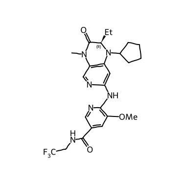 CC[C@@H]1C(=O)N(C)c2cnc(Nc3ncc(C(=O)NCC(F)(F)F)cc3OC)cc2N1C1CCCC1